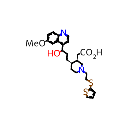 COc1ccc2nccc(C(O)CC[C@@H]3CCN(CCSc4cccs4)C[C@@H]3CC(=O)O)c2c1